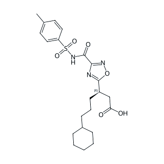 Cc1ccc(S(=O)(=O)NC(=O)c2noc([C@H](CCCC3CCCCC3)CC(=O)O)n2)cc1